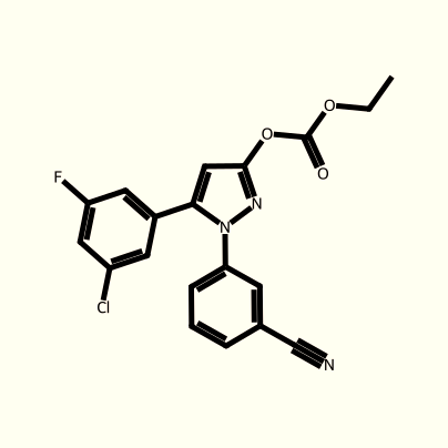 CCOC(=O)Oc1cc(-c2cc(F)cc(Cl)c2)n(-c2cccc(C#N)c2)n1